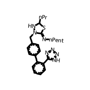 CCCCCN=C1SC(CCC)NN1Cc1ccc(-c2ccccc2-c2nnn[nH]2)cc1